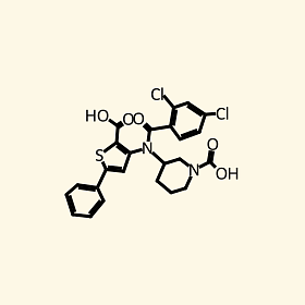 O=C(O)c1sc(-c2ccccc2)cc1N(C(=O)c1ccc(Cl)cc1Cl)C1CCCN(C(=O)O)C1